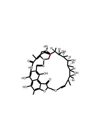 CCCN1CCN(/N=C/c2c3c(O)c4c(O)c(C)c5c(c4c2O)C(=O)[C@@](C)(O/C=C/[C@H](C)[C@@H](C)[C@@H](O)[C@H](C)[C@H](O)[C@H](C)[C@@H](O)[C@@H](C)/C=C/C=C(/C)C(=O)N3)O5)CC1